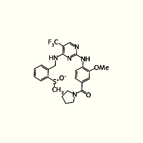 COc1cc(C(=O)N2CCCC2)ccc1Nc1ncc(C(F)(F)F)c(NCc2ccccc2[S+](C)[O-])n1